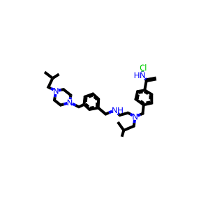 C=C(NCl)c1ccc(CN(CCNCc2cccc(CN3CCN(CC(C)C)CC3)c2)CC(C)C)cc1